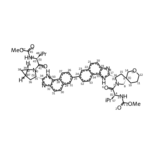 COC(=O)N[C@H](C(=O)N1C[C@]2(CCCOC2)C[C@H]1c1nc2ccc3cc(-c4ccc5c(ccc6nc([C@@H]7C[C@@H]8C[C@@H]8N7C(=O)[C@@H](NC(=O)OC)C(C)C)[nH]c65)c4)ccc3c2[nH]1)C(C)C